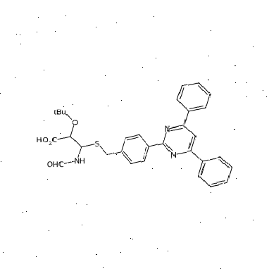 CC(C)(C)OC(C(=O)O)C(NC=O)SCc1ccc(-c2nc(-c3ccccc3)cc(-c3ccccc3)n2)cc1